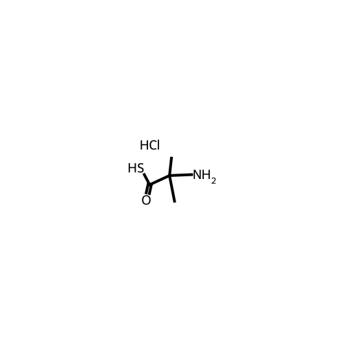 CC(C)(N)C(=O)S.Cl